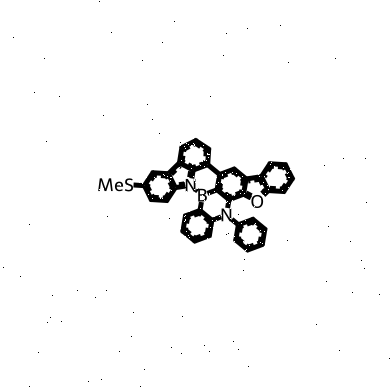 CSc1ccc2c(c1)c1cccc3c1n2B1c2ccccc2N(c2ccccc2)c2c1c-3cc1c2oc2ccccc21